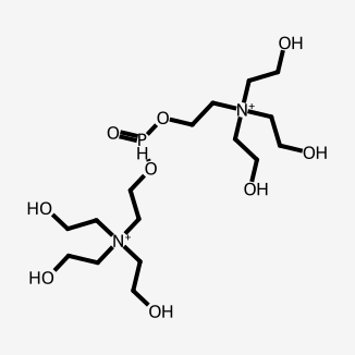 O=[PH](OCC[N+](CCO)(CCO)CCO)OCC[N+](CCO)(CCO)CCO